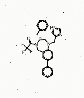 O=C(N1Cc2cc(-c3ccccc3)ccc2N(Cc2c[nH]cn2)C[C@H]1Cc1ccccc1)C(F)(F)F